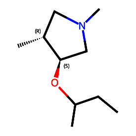 CCC(C)O[C@@H]1CN(C)C[C@H]1C